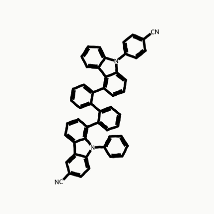 N#Cc1ccc(-n2c3ccccc3c3c(-c4ccccc4-c4ccccc4-c4cccc5c6cc(C#N)ccc6n(-c6ccccc6)c45)cccc32)cc1